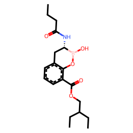 CCCC(=O)N[C@H]1Cc2cccc(C(=O)OCC(CC)CC)c2OB1O